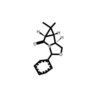 CC1(C)[C@@H]2[C@H]3COC(c4ccccc4)N3C(=O)[C@@H]21